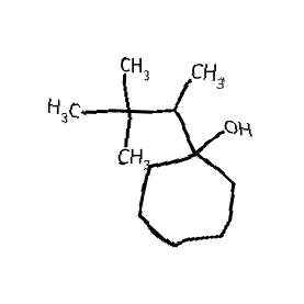 CC(C(C)(C)C)C1(O)CCCCC1